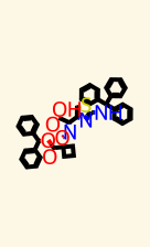 O=C(O)C(=NOC1(C(=O)OC(c2ccccc2)c2ccccc2)CCC1)c1csc(NC(c2ccccc2)(c2ccccc2)c2ccccc2)n1